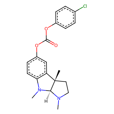 CN1CC[C@@]2(C)c3cc(OC(=O)Oc4ccc(Cl)cc4)ccc3N(C)[C@H]12